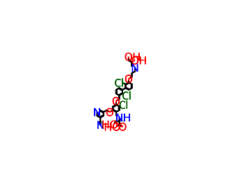 CN(CCCOc1cccc(-c2cccc(COc3cc(OCc4cncc(C#N)c4)c(CN[C@](C)(CO)C(=O)O)cc3Cl)c2Cl)c1Cl)C[C@H](O)CO